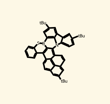 CC(C)(C)c1cc2ccc3c4c5c(c6ccc(c1)c2c36)-n1c2ccc(C(C)(C)C)cc2c2cc(C(C)(C)C)cc(c21)B5Sc1ccccc1-4